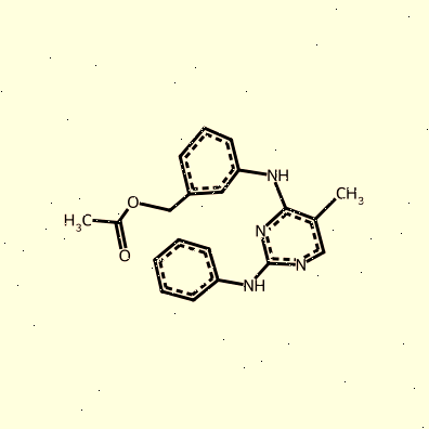 CC(=O)OCc1cccc(Nc2nc(Nc3ccccc3)ncc2C)c1